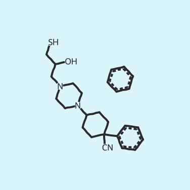 N#CC1(c2ccccc2)CCC(N2CCN(CC(O)CS)CC2)CC1.c1ccccc1